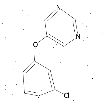 Clc1[c]ccc(Oc2cncnc2)c1